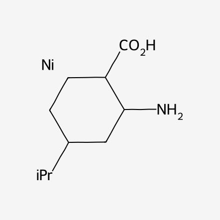 CC(C)C1CCC(C(=O)O)C(N)C1.[Ni]